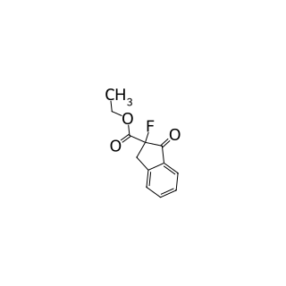 CCOC(=O)C1(F)Cc2ccccc2C1=O